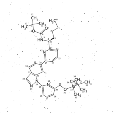 CCCC[C@H](NC(=O)OC(C)(C)C)c1cccc(-c2ccc3cnn(-c4cccc(CO[Si](C)(C)C(C)(C)C)n4)c3c2)n1